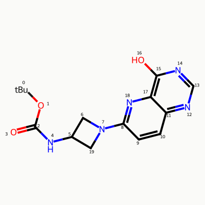 CC(C)(C)OC(=O)NC1CN(c2ccc3ncnc(O)c3n2)C1